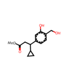 COC(=O)CC(c1ccc(CO)c(O)c1)C1CC1